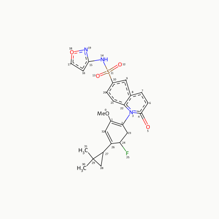 COC1=C(n2c(=O)ccc3cc(S(=O)(=O)Nc4ccon4)ccc32)CC(F)C(C2CC2(C)C)=C1